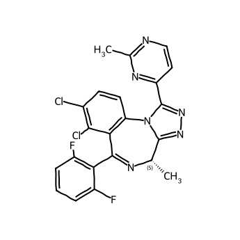 Cc1nccc(-c2nnc3n2-c2ccc(Cl)c(Cl)c2C(c2c(F)cccc2F)=N[C@H]3C)n1